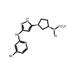 CC(C)N(C(=O)O)[C@@H]1CC[C@H](c2cc(Nc3cc(C#N)ccn3)n[nH]2)C1